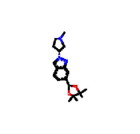 CN1CC[C@@H](n2cc3ccc(B4OC(C)(C)C(C)(C)O4)cc3n2)C1